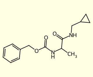 CC(NC(=O)OCc1ccccc1)C(=O)NCC1CC1